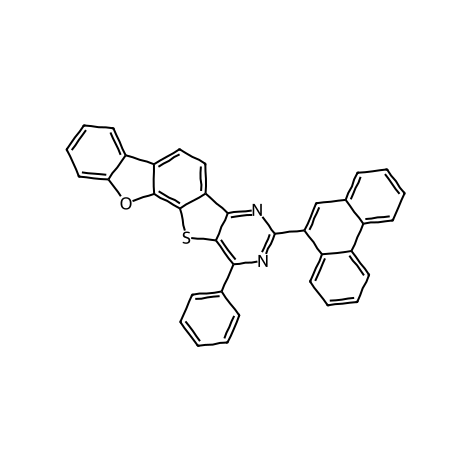 c1ccc(-c2nc(-c3cc4ccccc4c4ccccc34)nc3c2sc2c3ccc3c4ccccc4oc32)cc1